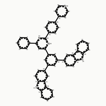 c1ccc(-c2cc(-c3cc(-c4ccc5sc6ccccc6c5c4)cc(-c4ccc5sc6ccccc6c5c4)c3)nc(-c3ccc(-c4ccncc4)cc3)n2)cc1